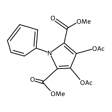 COC(=O)c1c(OC(C)=O)c(OC(C)=O)c(C(=O)OC)n1-c1ccccc1